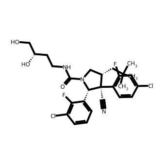 CC(C)(C)C[C@H]1CN(C(=O)NCC[C@H](O)CO)[C@@H](c2cccc(Cl)c2F)[C@]1(C#N)c1ccc(Cl)cc1F